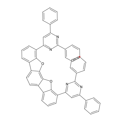 c1ccc(-c2cc(-c3cccc4c3oc3c4ccc4c5cccc(-c6cc(-c7ccccc7)nc(-c7ccccc7)n6)c5oc43)nc(-c3ccccc3)n2)cc1